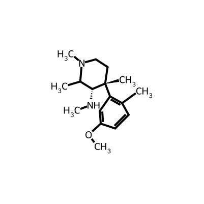 CN[C@@H]1C(C)N(C)CC[C@]1(C)c1cc(OC)ccc1C